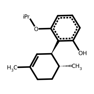 CC1=C[C@@H](c2c(O)cccc2OC(C)C)[C@H](C)CC1